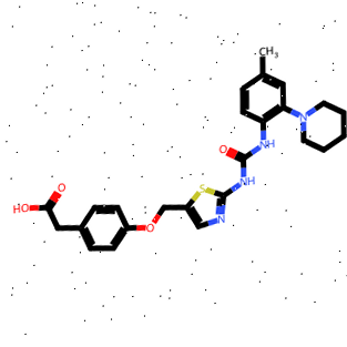 Cc1ccc(NC(=O)Nc2ncc(COc3ccc(CC(=O)O)cc3)s2)c(N2CCCCC2)c1